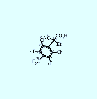 CCC(C#N)(C(=O)O)c1c(Cl)c(F)c(C(F)(F)F)c(F)c1Cl